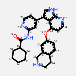 O=C(Nc1cc(-c2c[nH]c3nccc(Oc4ccc5c(c4)CNCC5)c23)ccn1)C1CCCCC1